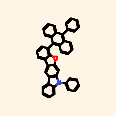 c1ccc(-c2c3ccccc3c(-c3cccc4c3oc3cc5c(cc34)c3ccccc3n5-c3ccccc3)c3ccccc23)cc1